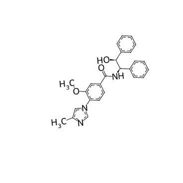 COc1cc(C(=O)N[C@H](c2ccccc2)[C@@H](O)c2ccccc2)ccc1-n1cnc(C)c1